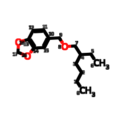 CCCCC(CC)COCc1ccc2c(c1)OCO2